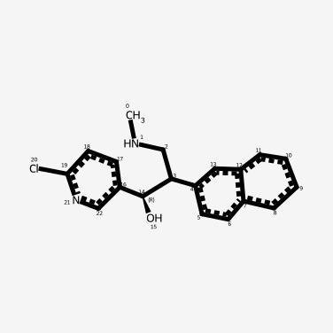 CNCC(c1ccc2ccccc2c1)[C@@H](O)c1ccc(Cl)nc1